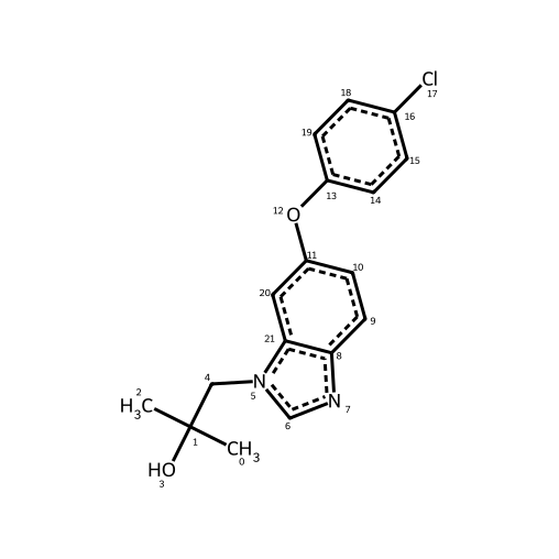 CC(C)(O)Cn1cnc2ccc(Oc3ccc(Cl)cc3)cc21